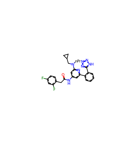 CCCN(CC1CC1)c1cc(NC(=O)Cc2ccc(F)cc2F)cc(-c2ccccc2-c2nnn[nH]2)n1